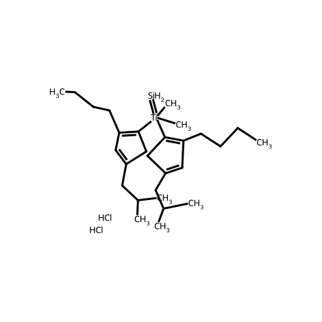 CCCCC1=[C]([Ti]([CH3])([CH3])(=[SiH2])[C]2=C(CCCC)C=C(CC(C)C)C2)CC(CC(C)C)=C1.Cl.Cl